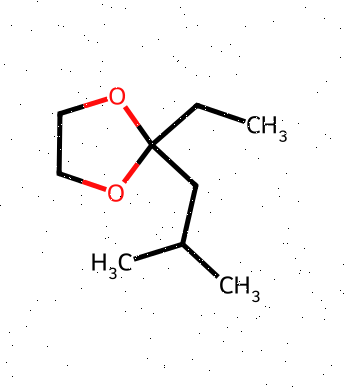 CCC1(CC(C)C)OCCO1